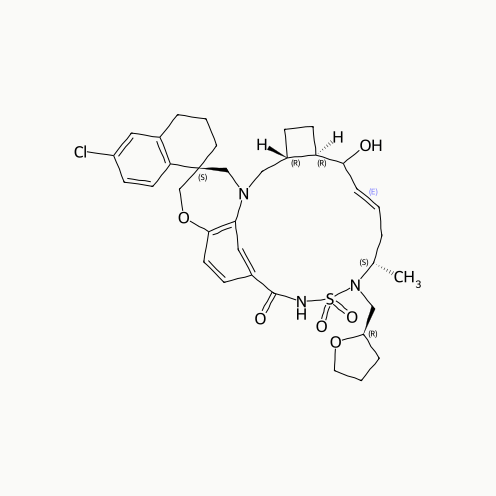 C[C@H]1C/C=C/C(O)[C@@H]2CC[C@H]2CN2C[C@@]3(CCCc4cc(Cl)ccc43)COc3ccc(cc32)C(=O)NS(=O)(=O)N1C[C@H]1CCCO1